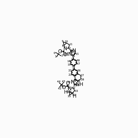 CC(C)(C)OC(=O)N1C2CC2C[C@H]1c1ncc(-c2ccc(-c3ccc4c(c3)CCc3[nH]c([C@@H]5C[C@H]6C[C@H]6N5C(=O)OC(C)(C)C)nc3-4)cc2)[nH]1